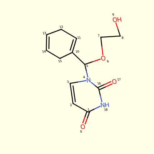 O=c1ccn(C(OCCO)C2=CCC=CC2)c(=O)[nH]1